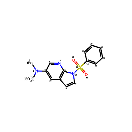 CC(C)(C)N(C(=O)O)c1cnc2c(ccn2S(=O)(=O)c2ccccc2)c1